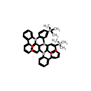 C[Si](C)(C)c1ccc2c(c1)B1c3cc([Si](C)(C)C)ccc3N(c3ccccc3-c3ccccn3)c3cccc(c31)N2c1ccccc1-c1ccccn1